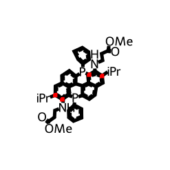 COC(=O)CCNC(CC(C)C)CP(c1ccccc1)c1ccc2ccccc2c1-c1c(P(CC(CC(C)C)NCCC(=O)OC)c2ccccc2)ccc2ccccc12